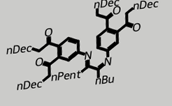 CCCCCCCCCCCC(=O)c1ccc(N=C(CCCC)C(CCCCC)=Nc2ccc(C(=O)CCCCCCCCCCC)c(C(=O)CCCCCCCCCCC)c2)cc1C(=O)CCCCCCCCCCC